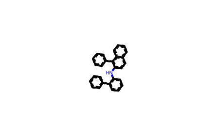 c1ccc(-c2ccccc2Nc2ccc3ccccc3c2-c2ccccc2)cc1